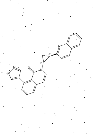 Cn1cc(-c2cccc3ccn([C@@H]4C[C@H]4c4ccc5ccccc5n4)c(=O)c23)cn1